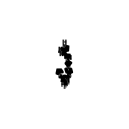 FC(F)(F)c1cc(CN2CCCC2)cc(OC2CCN(C3CC(n4cc(-c5ncnc6[nH]ccc56)cn4)C3)CC2)n1